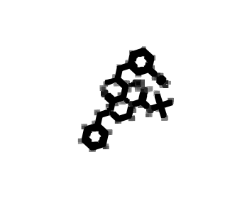 [C-]#[N+]c1cccc(C[C@H](C)[C@H](O)[C@H]2C(=O)N(Cc3ccccc3)CCN2C(=O)OC(C)(C)C)c1